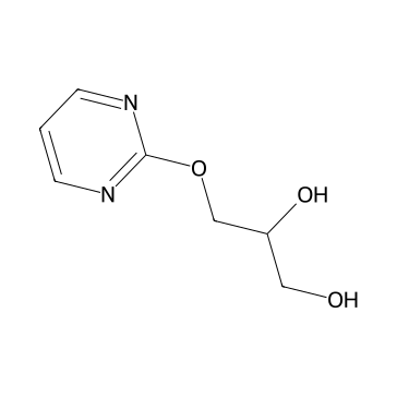 OCC(O)COc1ncccn1